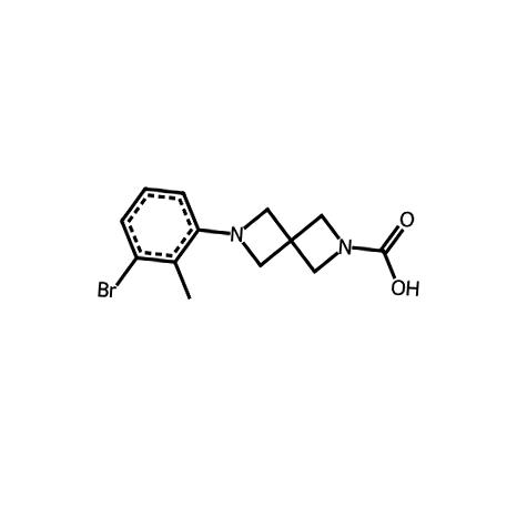 Cc1c(Br)cccc1N1CC2(CN(C(=O)O)C2)C1